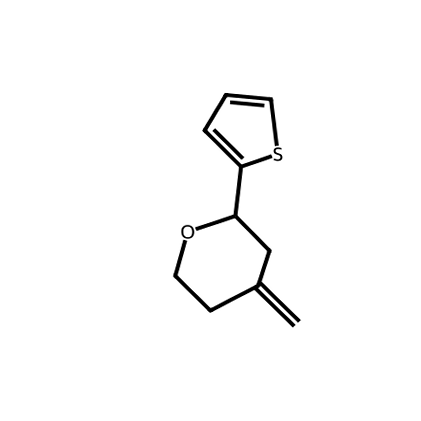 C=C1CCOC(c2cccs2)C1